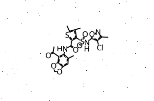 CC(=O)c1c(NC(=O)c2sc(C)c(C)c2S(=O)(=O)Nc2onc(C)c2Cl)c(C)cc2c1OCO2